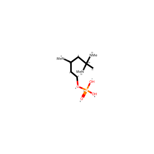 CNC(CCOP(=O)(O)O)CC(C)(NC)NC